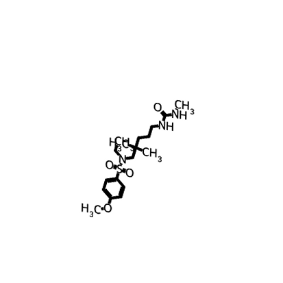 CCN(CC(C)(C)CCCNC(=O)NC)S(=O)(=O)c1ccc(OC)cc1